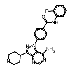 Nc1ncnc2c(C3CCNCC3)nn(-c3ccc(C(=O)Nc4ccccc4F)cc3)c12